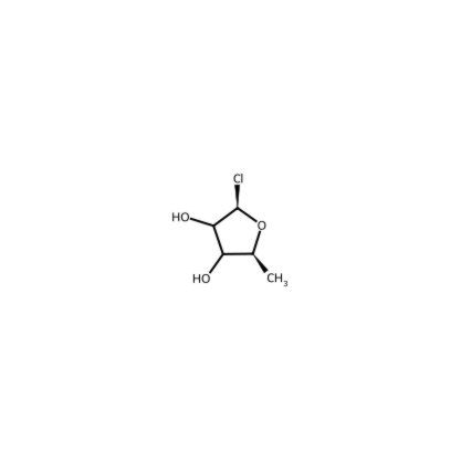 C[C@@H]1O[C@H](Cl)C(O)C1O